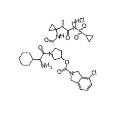 C=C(C(=O)NS(=O)(=O)C1CC1)C1(NC(=O)[C@@H]2C[C@@H](OC(=O)N3Cc4cccc(Cl)c4C3)CN2C(=O)[C@@H](N)C2CCCCC2)CC1.Cl